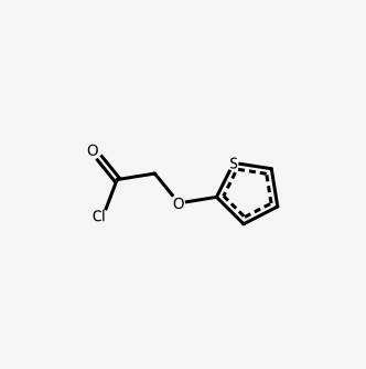 O=C(Cl)COc1cccs1